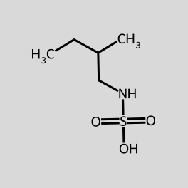 CCC(C)CNS(=O)(=O)O